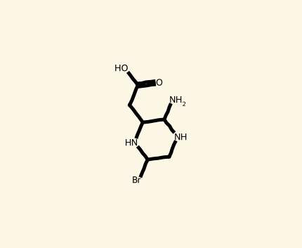 NC1NCC(Br)NC1CC(=O)O